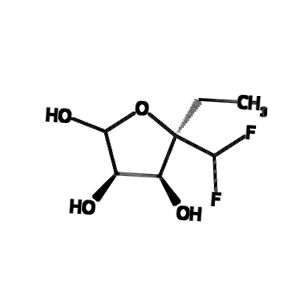 CC[C@@]1(C(F)F)OC(O)[C@H](O)[C@@H]1O